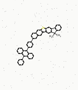 CC1(C)c2ccccc2-c2cc3sc4cc5ccc(-c6ccc(-c7c8ccccc8c(-c8ccccc8)c8ccccc78)cc6)cc5cc4c3cc21